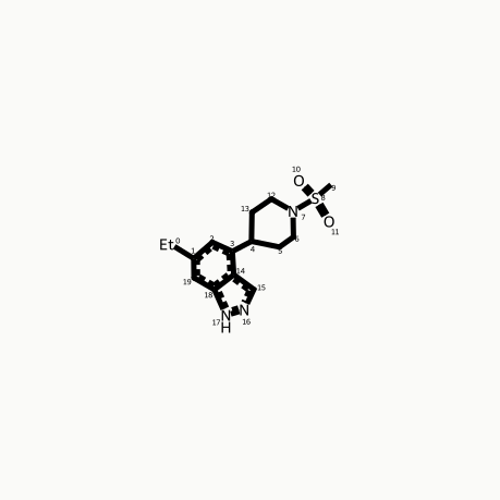 CCc1cc(C2CCN(S(C)(=O)=O)CC2)c2cn[nH]c2c1